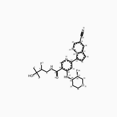 CC(C)(O)C(F)CNC(=O)c1cnc(-c2ccc3cc(C#N)cnn23)cc1N[C@@H]1CCOC[C@@H]1F